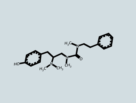 CN(CCc1ccccc1)C(=O)N(C)CC(Cc1ccc(O)cc1)N(C)C